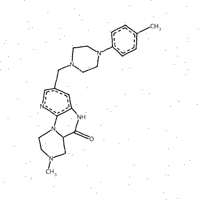 Cc1ccc(N2CCN(Cc3cnc4c(c3)NC(=O)C3CN(C)CCN43)CC2)cc1